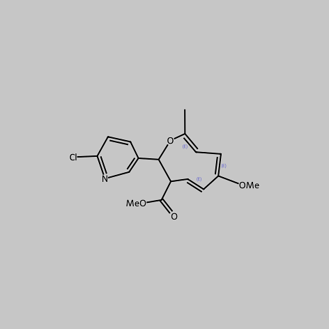 COC(=O)C1/C=C/C(OC)=C\C=C(/C)OC1c1ccc(Cl)nc1